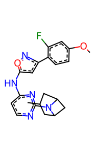 COc1ccc(-c2cc(Nc3ccnc(N4C5CC(C)CC4C5)n3)on2)c(F)c1